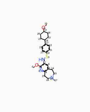 COc1nc2c(cc1NSc1ccc(C3CCC(OC)CC3)cc1)CCN(C)CC2